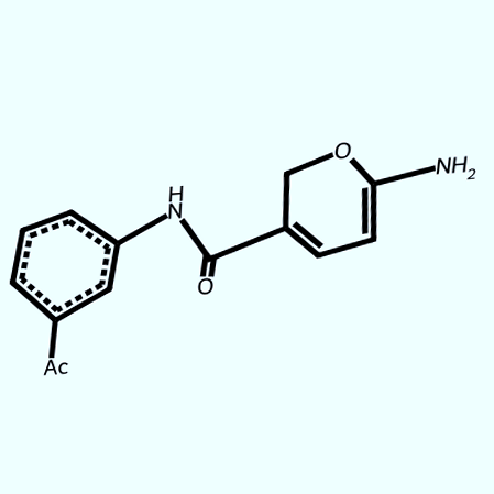 CC(=O)c1cccc(NC(=O)C2=CC=C(N)OC2)c1